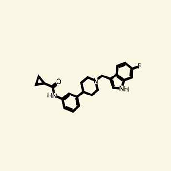 O=C(Nc1cccc(C2CCN(Cc3c[nH]c4cc(F)ccc34)CC2)c1)C1CC1